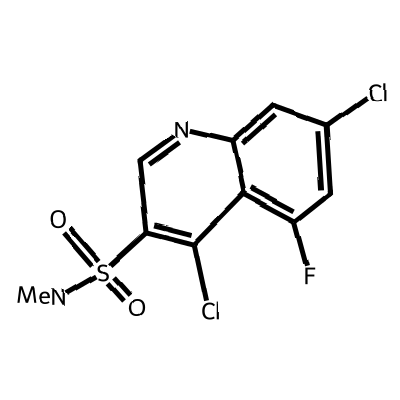 CNS(=O)(=O)c1cnc2cc(Cl)cc(F)c2c1Cl